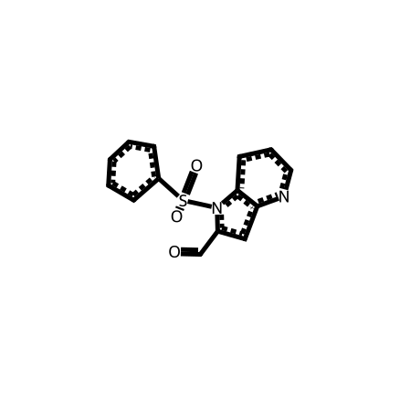 O=Cc1cc2ncccc2n1S(=O)(=O)c1ccccc1